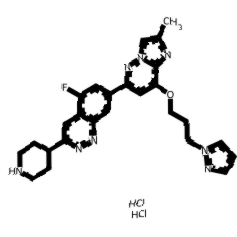 Cc1cn2nc(-c3cc(F)c4cc(C5CCNCC5)nnc4c3)cc(OCCCn3cccn3)c2n1.Cl.Cl